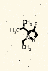 CCn1ncc(F)c1C(C)C